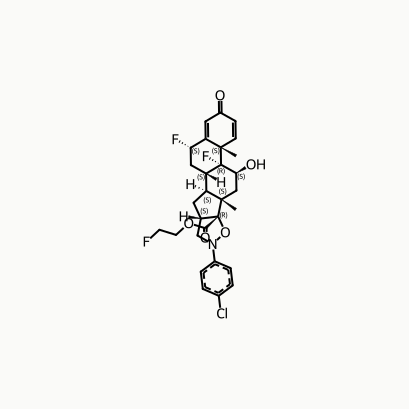 C[C@]12C=CC(=O)C=C1[C@@H](F)C[C@H]1[C@@H]3C[C@H]4CN(c5ccc(Cl)cc5)O[C@@]4(C(=O)OCCF)[C@@]3(C)C[C@H](O)[C@@]12F